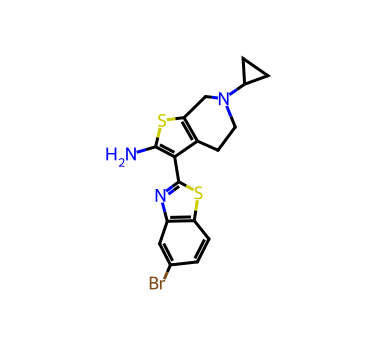 Nc1sc2c(c1-c1nc3cc(Br)ccc3s1)CCN(C1CC1)C2